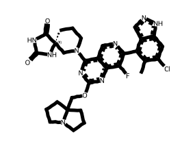 Cc1c(Cl)cc2[nH]ncc2c1-c1ncc2c(N3CCC[C@]4(C3)NC(=O)NC4=O)nc(OCC34CCCN3CCC4)nc2c1F